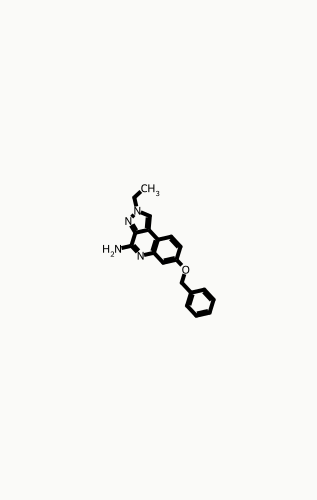 CCn1cc2c(n1)c(N)nc1cc(OCc3ccccc3)ccc12